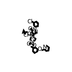 CC1(COc2c(N3CCN(S(=O)(=O)Cc4cccc(OCc5ccccn5)c4)CC3)cnn(-c3cccc(Cl)c3)c2=O)CC1